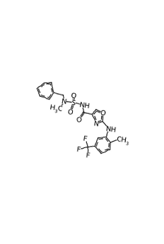 Cc1ccc(C(F)(F)F)cc1Nc1nc(C(=O)NS(=O)(=O)N(C)Cc2ccccc2)co1